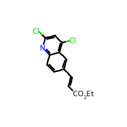 CCOC(=O)/C=C/c1ccc2nc(Cl)cc(Cl)c2c1